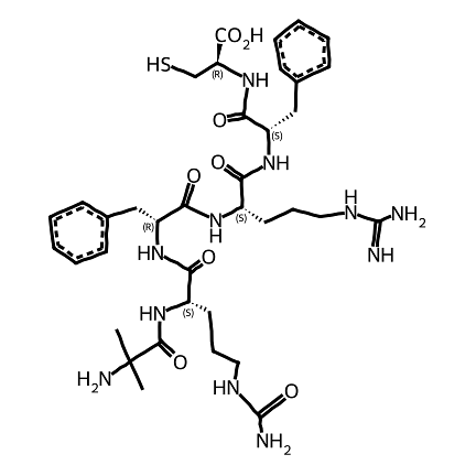 CC(C)(N)C(=O)N[C@@H](CCCNC(N)=O)C(=O)N[C@H](Cc1ccccc1)C(=O)N[C@@H](CCCNC(=N)N)C(=O)N[C@@H](Cc1ccccc1)C(=O)N[C@@H](CS)C(=O)O